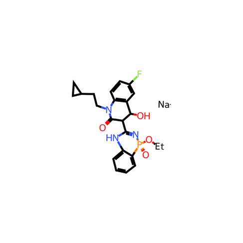 CCOP1(=O)N=C(C2C(=O)N(CCC3CC3)c3ccc(F)cc3C2O)Nc2ccccc21.[Na]